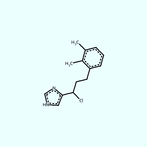 Cc1cccc(CCC(Cl)c2c[nH]cn2)c1C